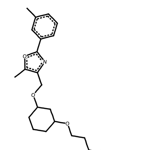 Cc1cccc(-c2nc(COC3CCCC(OCCCO)C3)c(C)o2)c1